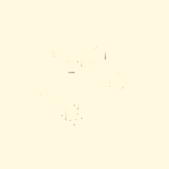 CCOC(=O)Cc1nnnn1CCC1OC(c2cccc(OC)c2OC)c2cc(Cl)ccc2-n2cc(C=C(C)C)cc21